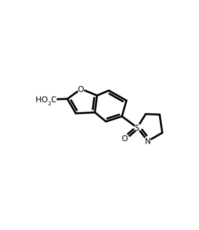 O=C(O)c1cc2cc(S3(=O)=NCCC3)ccc2o1